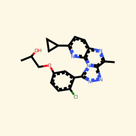 Cc1nc2ccc(C3CC3)nc2n2c(-c3cc(OCC(C)O)ccc3Cl)nnc12